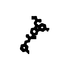 O=C(O)Cn1c2c(c3cc(F)ccc31)C[C@@H](NC(=O)CCc1cccc(I)c1)CC2